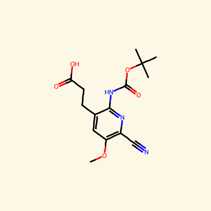 COc1cc(CCC(=O)O)c(NC(=O)OC(C)(C)C)nc1C#N